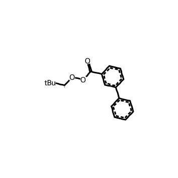 CC(C)(C)[CH]OOC(=O)c1cccc(-c2ccccc2)c1